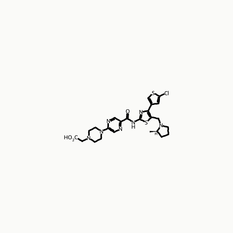 C[C@@H]1CCCN1Cc1sc(NC(=O)c2cnc(N3CCN(CC(=O)O)CC3)cn2)nc1-c1csc(Cl)c1